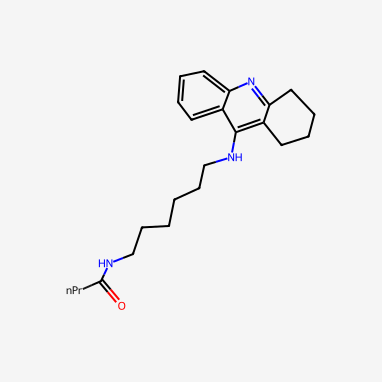 CCCC(=O)NCCCCCCNc1c2c(nc3ccccc13)CCCC2